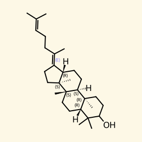 CC(C)=CCC/C(C)=C1\CC[C@@]2(C)[C@H]1CC[C@H]1[C@@]3(C)CCC(O)C(C)(C)[C@@H]3CC[C@@]12C